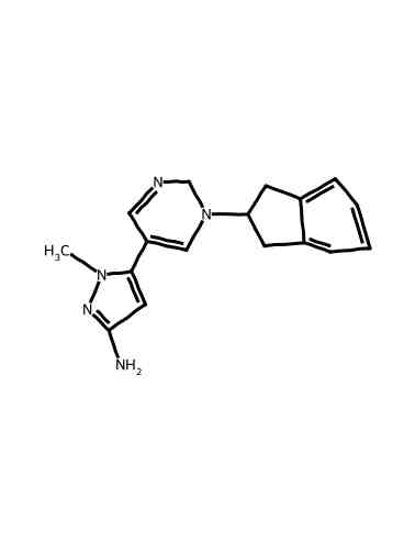 Cn1nc(N)cc1C1=CN(C2Cc3ccccc3C2)CN=C1